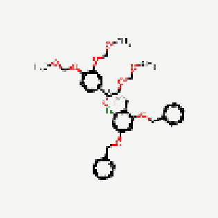 COCOc1ccc([C@@H](O)[C@@H](Cc2c(F)cc(OCc3ccccc3)cc2OCc2ccccc2)OCOC)cc1OCOC